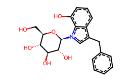 OC[C@H]1O[C@@H](n2cc(Cc3ccccc3)c3cccc(O)c32)[C@H](O)[C@@H](O)[C@@H]1O